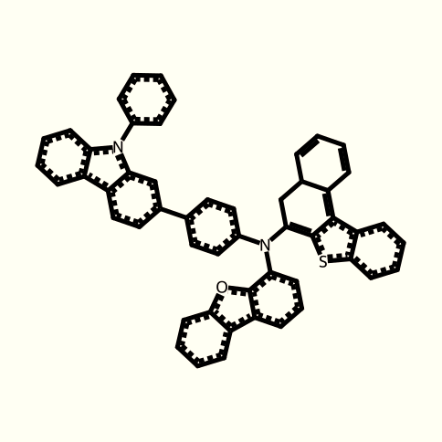 C1=CC2=c3c(sc4ccccc34)=C(N(c3ccc(-c4ccc5c6ccccc6n(-c6ccccc6)c5c4)cc3)c3cccc4c3oc3ccccc34)CC2C=C1